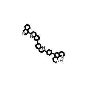 C1=Cc2c(-c3ccc(-c4ccc5ccc(-c6ccc7ccc(-c8cncc9ccccc89)nc7c6)cc5n4)cc3)cc3cccnc3c2NC1